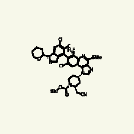 CSc1nc2c(F)c(-c3c(C)c(Cl)cc4c3cnn4C3CCCCO3)c(Cl)cc2c2c1ncn2[C@H]1CCN(C(=O)OC(C)(C)C)[C@H](CC#N)C1